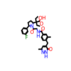 CCC(CC)(C(=O)O)C1CCC(c2cccc(F)c2)N1C(=O)CNC(=O)c1ccc(Cc2cc(C)n[nH]c2=O)c(C)c1